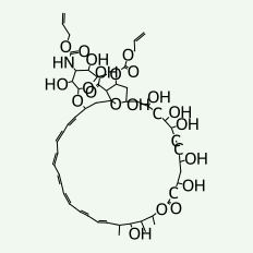 C=CCOC(=O)NC1C(O)C(C)OC(OC2/C=C/C=C/C=C/C=C/C=C/C=C/C=C/C(C)C(O)C(C)C(C)OC(=O)CC(O)CC(O)CCC(O)C(O)CC(O)CC3(O)CC(OC(=O)OCC=C)C(C(=O)O)C(C2)O3)C1O